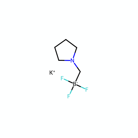 F[B-](F)(F)CN1CCCC1.[K+]